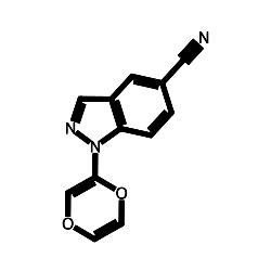 N#Cc1ccc2c(cnn2C2=COC=CO2)c1